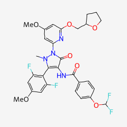 COc1cc(OCC2CCCO2)nc(-n2c(=O)c(NC(=O)c3ccc(OC(F)F)cc3)c(-c3c(F)cc(OC)cc3F)n2C)c1